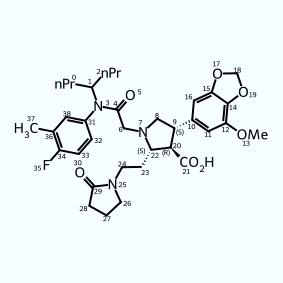 CCCC(CCC)N(C(=O)CN1C[C@H](c2cc(OC)c3c(c2)OCO3)[C@@H](C(=O)O)[C@@H]1CCN1CCCC1=O)c1ccc(F)c(C)c1